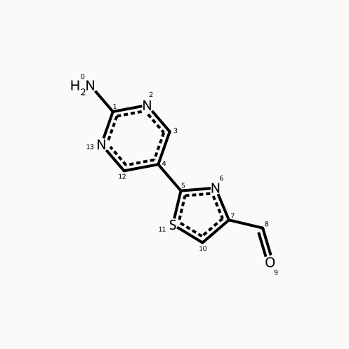 Nc1ncc(-c2nc(C=O)cs2)cn1